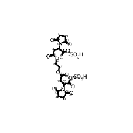 O=C(CC(C(=O)OS(=O)(=O)O)N1C(=O)CCC1=O)OCCOC(=O)CC(C(=O)OS(=O)(=O)O)N1C(=O)CCC1=O